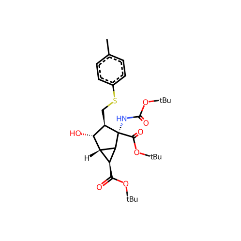 Cc1ccc(SC[C@@H]2[C@@H](O)[C@@H]3C([C@H]3C(=O)OC(C)(C)C)[C@]2(NC(=O)OC(C)(C)C)C(=O)OC(C)(C)C)cc1